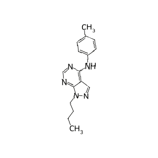 CCCCn1ncc2c(Nc3ccc(C)cc3)ncnc21